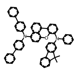 CC1(C)c2ccccc2-c2ccc(N(c3ccccc3)c3cccc4c3Oc3ccc(N(c5ccc(-c6ccccc6)cc5)c5ccc(-c6ccccc6)cc5)c5cccc-4c35)cc21